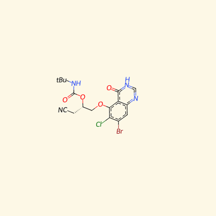 CC(C)(C)NC(=O)O[C@@H](CC#N)COc1c(Cl)c(Br)cc2nc[nH]c(=O)c12